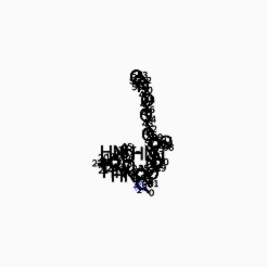 CC/C=C\c1c(NC(=O)Nc2cc(N[S+](C)[O-])cc(C(C)(C)C)c2)ccc(Oc2ccnc(Nc3cc(OC)cc(OCCCOCCOCCN4CCOCC4)c3)n2)c1CC